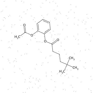 CC(=O)Oc1ccccc1OC(=O)CCCC(C)(C)C